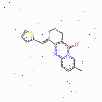 Cc1ccc2nc3c(c(=O)n2c1)CCCC3=Cc1cccs1